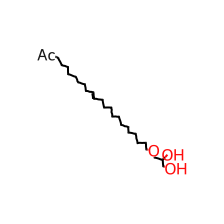 CC(=O)CCCCCCCC/C=C/CCCCCCCCCCCCOCC(O)CO